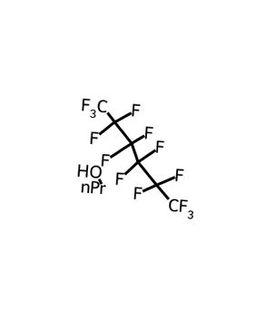 CCCO.FC(F)(F)C(F)(F)C(F)(F)C(F)(F)C(F)(F)C(F)(F)F